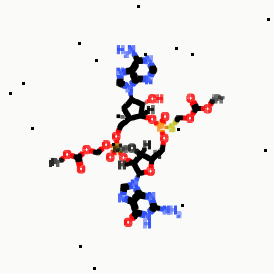 CO[C@H]1[C@H]2O[P@](=O)(OCOC(=O)OC(C)C)OC[C@@]3(C)C[C@@H](n4cnc5c(N)ncnc54)[C@H](O)[C@@H]3O[P@](=O)(SCOC(=O)OC(C)C)OC[C@H]1O[C@H]2n1cnc2c(=O)[nH]c(N)nc21